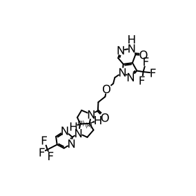 O=C(CCOCCn1nc(C(F)(F)F)c2c(=O)[nH]ncc21)N1CC[C@@H]2[C@H]1CCN2c1ncc(C(F)(F)F)cn1